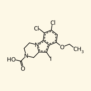 CCOc1cc(Cl)c(Cl)c2c1c(I)c1n2CCN(C(=O)O)C1